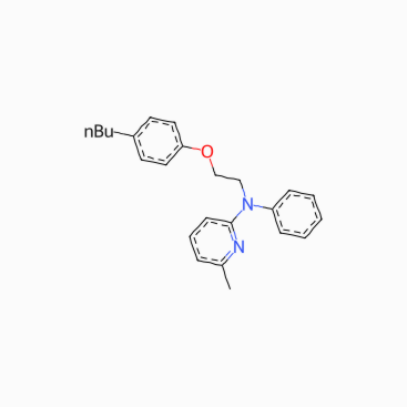 CCCCc1ccc(OCCN(c2ccccc2)c2cccc(C)n2)cc1